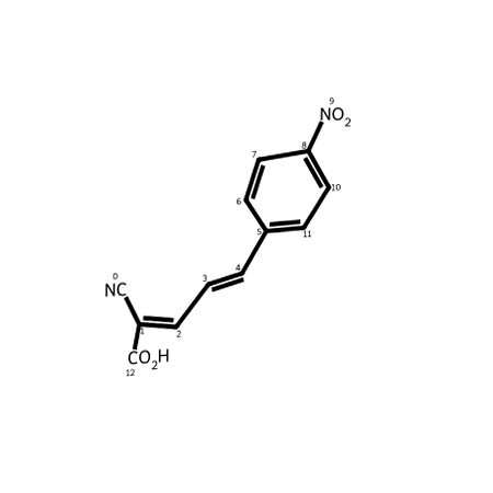 N#C/C(=C\C=C\c1ccc([N+](=O)[O-])cc1)C(=O)O